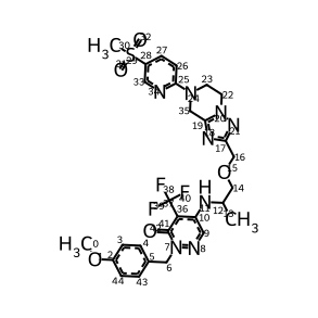 COc1ccc(Cn2ncc(NC(C)COCc3nc4n(n3)CCN(c3ccc(S(C)(=O)=O)cn3)C4)c(C(F)(F)F)c2=O)cc1